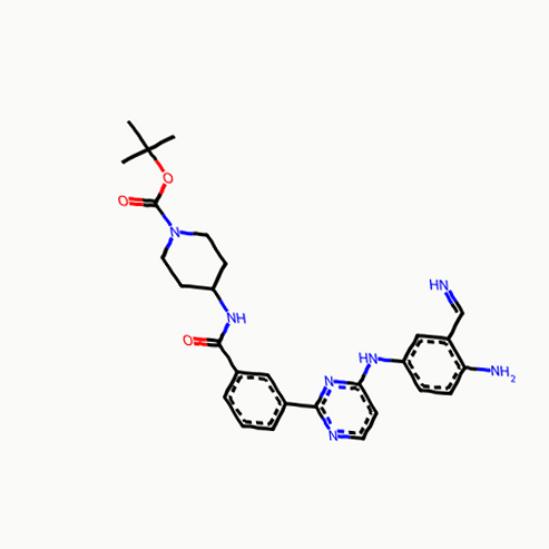 CC(C)(C)OC(=O)N1CCC(NC(=O)c2cccc(-c3nccc(Nc4ccc(N)c(C=N)c4)n3)c2)CC1